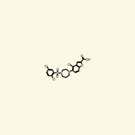 O=C(O)c1cc2c(Cl)c(N3CCCN(S(=O)(=O)c4cc(Cl)ccc4Cl)CC3)ccc2o1